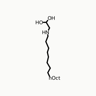 CCCCCCCCCCCCCCCCNCC(O)O